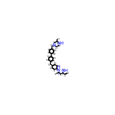 C=CC(=N)/C=C(/C)NC1C=CC(Cc2ccc(-c3ccc(CN4CCNC(C)C4)cc3)cc2)=CC1